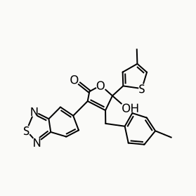 Cc1ccc(CC2=C(c3ccc4nsnc4c3)C(=O)OC2(O)c2cc(C)cs2)cc1